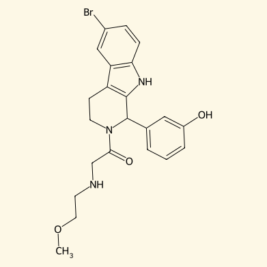 COCCNCC(=O)N1CCc2c([nH]c3ccc(Br)cc23)C1c1cccc(O)c1